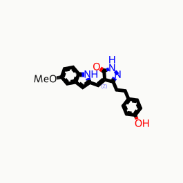 COc1ccc2[nH]c(/C=C3\C(=O)NN=C3CCc3ccc(O)cc3)cc2c1